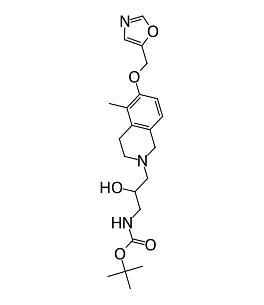 Cc1c(OCc2cnco2)ccc2c1CCN(CC(O)CNC(=O)OC(C)(C)C)C2